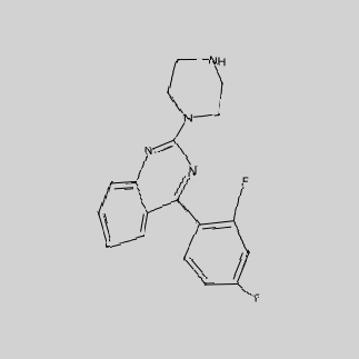 Fc1ccc(-c2nc(N3CCNCC3)nc3ccccc23)c(F)c1